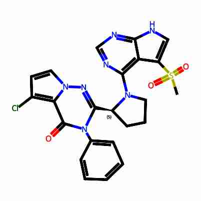 CS(=O)(=O)c1c[nH]c2ncnc(N3CCC[C@H]3c3nn4ccc(Cl)c4c(=O)n3-c3ccccc3)c12